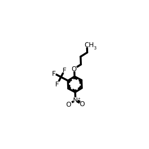 CCCCOc1ccc([N+](=O)[O-])cc1C(F)(F)F